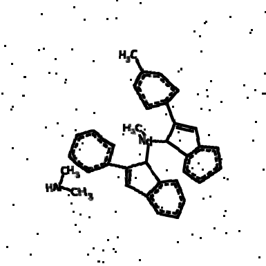 Cc1ccc(C2=Cc3ccccc3[CH]2[Nd]([CH3])[CH]2C(c3ccccc3)=Cc3ccccc32)cc1.[CH3][AlH][CH3]